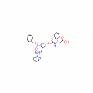 O=C(O)C[C@H](NC(=O)CO[C@@H]1C[C@@H](CNc2ccccn2)N(C(=O)OCc2ccccc2)C1)c1ccccc1